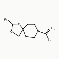 C=C(CC)N1CCC2(CC1)COC(C(C)C)O2